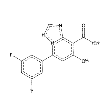 [NH]C(=O)c1c(O)cc(-c2cc(F)cc(F)c2)n2ncnc12